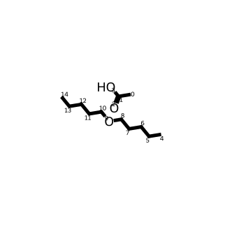 CC(=O)O.CCCCCOCCCCC